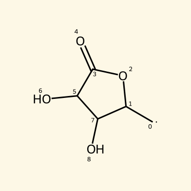 [CH2]C1OC(=O)C(O)C1O